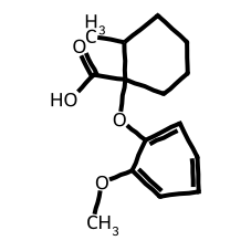 COc1ccccc1OC1(C(=O)O)CCCCC1C